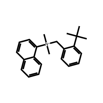 CC(C)(C)c1ccccc1C[N+](C)(C)c1cccc2ccccc12